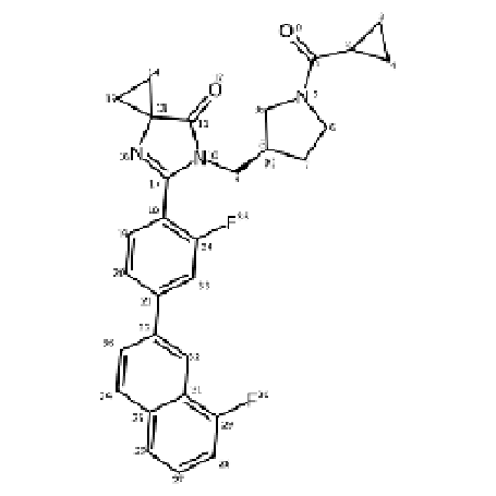 O=C(C1CC1)N1CC[C@@H](CN2C(=O)C3(CC3)N=C2c2ccc(-c3ccc4cccc(F)c4c3)cc2F)C1